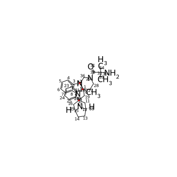 Cc1nc2ccccc2n1C1C[C@H]2CC[C@@H](C1)N2CCC1(c2ccccc2)CCN(C(=O)C(C)(C)N)CC1